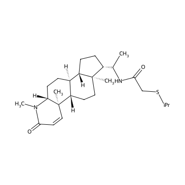 CC(C)SCC(=O)NC(C)[C@H]1CC[C@H]2[C@@H]3CC[C@H]4N(C)C(=O)C=C[C@]4(C)[C@H]3CC[C@]12C